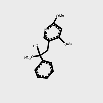 COc1cc(OC)c(CC(O)(C(=O)O)c2ccccc2)cn1